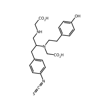 O=C(O)CNCC(Cc1ccc(N=C=S)cc1)N(CCc1ccc(O)cc1)CC(=O)O